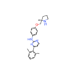 Cc1cccc(C)c1-c1ccnc(Nc2ccc(OC[C@]3(C)CCCN3)cc2)n1